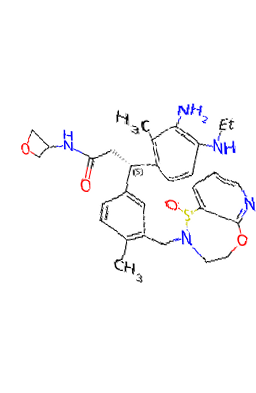 CCNc1ccc([C@@H](CC(=O)NC2COC2)c2ccc(C)c(CN3CCOc4ncccc4[S+]3[O-])c2)c(C)c1N